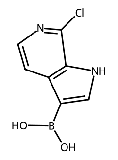 OB(O)c1c[nH]c2c(Cl)nccc12